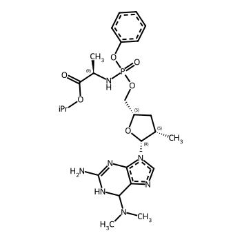 CC(C)OC(=O)[C@@H](C)NP(=O)(OC[C@@H]1C[C@H](C)[C@H](n2cnc3c2N=C(N)NC3N(C)C)O1)Oc1ccccc1